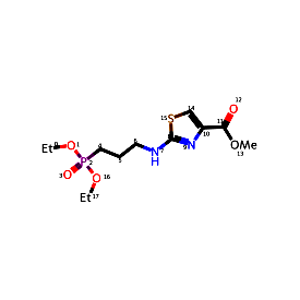 CCOP(=O)(CCCNc1nc(C(=O)OC)cs1)OCC